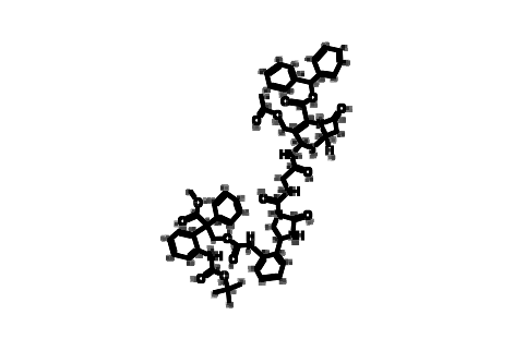 COC(=O)C(COC(=O)Nc1ccccc1C1CN(C(=O)NCC(=O)N[C@@H]2S[C@H]3CC(=O)N3C(C(=O)OC(c3ccccc3)c3ccccc3)=C2COC(C)=O)C(=O)N1)(c1ccccc1)c1ccccc1NC(=O)OC(C)(C)C